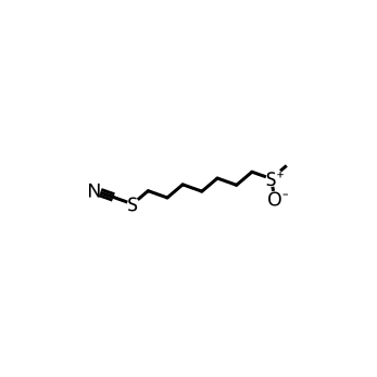 C[S+]([O-])CCCCCCCSC#N